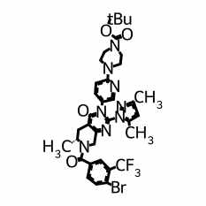 Cc1cc(C)n(-c2nc3c(c(=O)n2-c2ccc(N4CCN(C(=O)OC(C)(C)C)CC4)nc2)C[C@@H](C)N(C(=O)c2ccc(Br)c(C(F)(F)F)c2)C3)n1